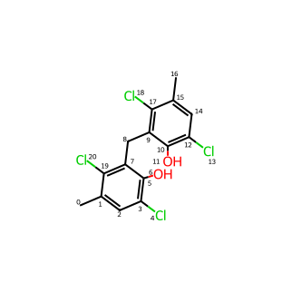 Cc1cc(Cl)c(O)c(Cc2c(O)c(Cl)cc(C)c2Cl)c1Cl